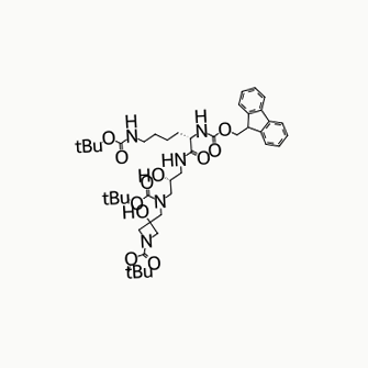 CC(C)(C)OC(=O)NCCCC[C@H](NC(=O)OCC1c2ccccc2-c2ccccc21)C(=O)NC[C@@H](O)CN(CC1(O)CN(C(=O)OC(C)(C)C)C1)C(=O)OC(C)(C)C